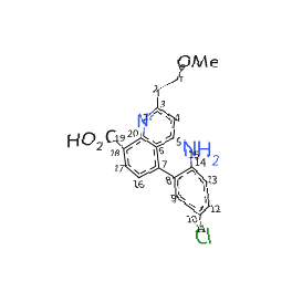 COCCc1ccc2c(-c3cc(Cl)ccc3N)ccc(C(=O)O)c2n1